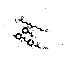 CC(N)=O.CCCCCCCCC=CCCCCCCCC(N)=O.CCCCCCCCCCCC(N)=O.Cc1ccc(C(=O)Nc2ccccc2)cc1.NC(=O)c1ccccc1